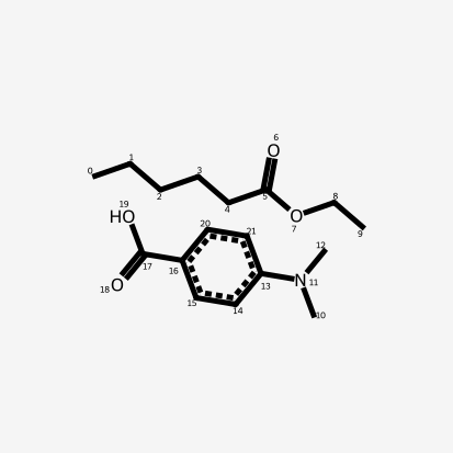 CCCCCC(=O)OCC.CN(C)c1ccc(C(=O)O)cc1